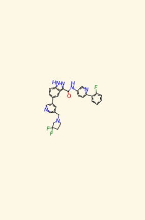 O=C(Nc1ccc(-c2ccccc2F)nc1)c1n[nH]c2ccc(-c3cncc(CN4CCC(F)(F)C4)c3)cc12